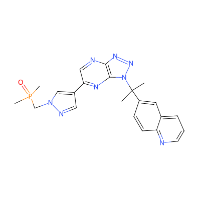 CC(C)(c1ccc2ncccc2c1)n1nnc2ncc(-c3cnn(CP(C)(C)=O)c3)nc21